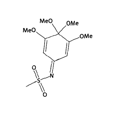 COC1=CC(=NS(C)(=O)=O)C=C(OC)C1(OC)OC